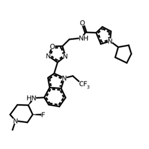 CN1CC[C@@H](Nc2cccc3c2cc(-c2noc(CNC(=O)c4ccn(C5CCCC5)c4)n2)n3CC(F)(F)F)[C@@H](F)C1